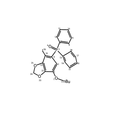 CCCCOc1cc(P(=O)(c2ccccc2)c2ccccc2)c(I)c2c1OCO2